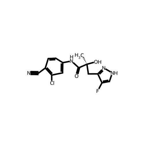 C[C@](O)(Cc1n[nH]cc1F)C(=O)Nc1ccc(C#N)c(Cl)c1